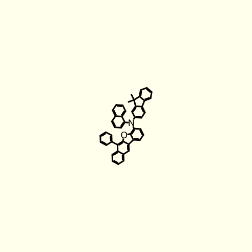 CC1(C)c2ccccc2-c2ccc(N(c3cccc4ccccc34)c3cccc4c3oc3c(-c5ccccc5)c5ccccc5cc34)cc21